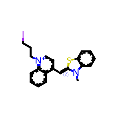 CN1/C(=C/c2cc[n+](CCCI)c3ccccc23)Sc2ccccc21